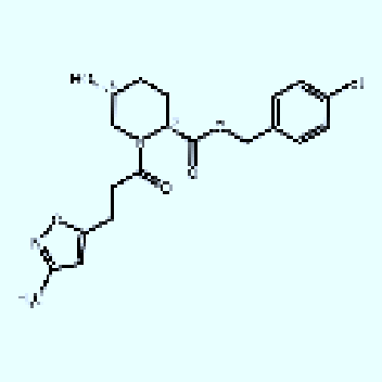 CCc1ccc(COC(=O)[C@@H]2CC[C@@H](O)CN2C(=O)CCc2cc(C)no2)cc1